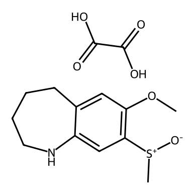 COc1cc2c(cc1[S+](C)[O-])NCCCC2.O=C(O)C(=O)O